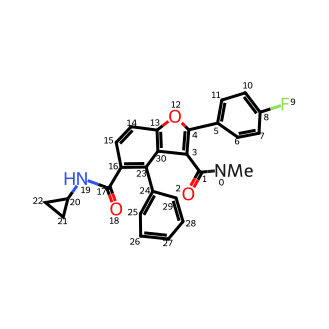 CNC(=O)c1c(-c2ccc(F)cc2)oc2ccc(C(=O)NC3CC3)c(-c3ccccc3)c12